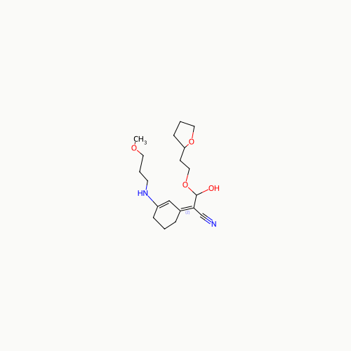 COCCCNC1=C/C(=C(/C#N)C(O)OCCC2CCCO2)CCC1